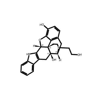 OCCN1CC[C@]23c4c5ccc(O)c4O[C@H]2c2[nH]c4ccccc4c2C[C@@]3(O)[C@H]1C5